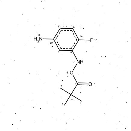 CC(C)(C)C(=O)ONc1cc(N)ccc1F